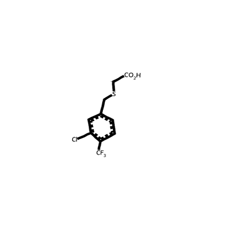 O=C(O)[CH]SCc1ccc(C(F)(F)F)c(Cl)c1